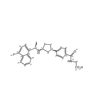 C[C@@H](N[C@H]1CC[C@@H](c2ccc(C(=O)NCC(=O)O)cc2)C1)c1ccc(F)c2ccccc12